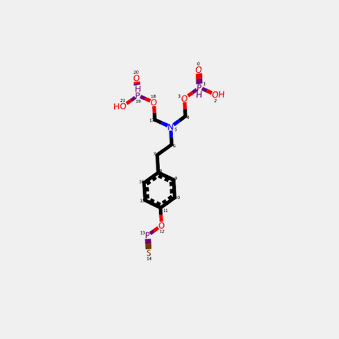 O=[PH](O)OCN(CCc1ccc(OP=S)cc1)CO[PH](=O)O